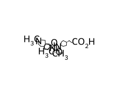 CN1CCc2ccc(N3C(=O)N([C@H]4CC[C@H](CCC(=O)O)CC4)C(=O)C3(C)C)cc2CC1